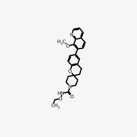 CCONC(=O)N1CCC2(CCc3cc(-c4ccc5cccnc5c4OC)ccc3O2)CC1